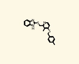 Cc1ccc(CSc2ccnc(CSc3nc4ccccc4[nH]3)c2C)cc1